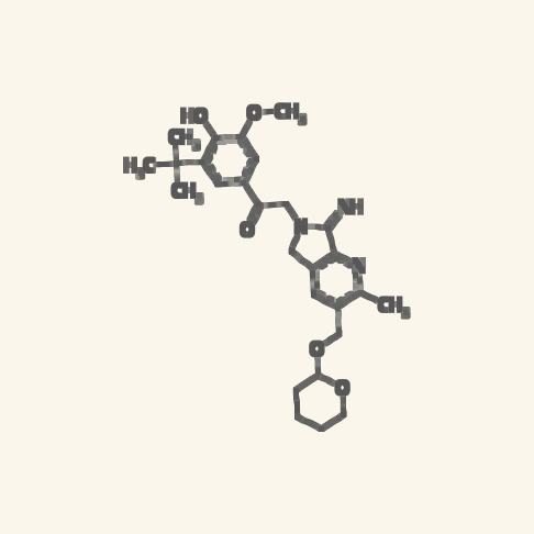 COc1cc(C(=O)CN2Cc3cc(COC4CCCCO4)c(C)nc3C2=N)cc(C(C)(C)C)c1O